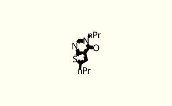 CCCc1cc2c(=O)n(CCC)cnc2s1